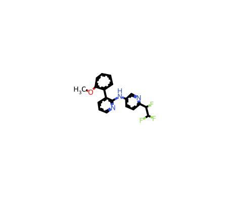 COc1ccccc1-c1cccnc1Nc1ccc(C(F)C(F)F)nc1